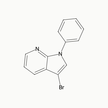 Brc1cn(-c2ccccc2)c2ncccc12